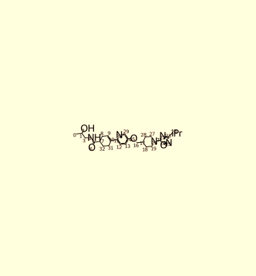 CC(O)CNC(=O)C1CC=C(c2ccc(OCC3CCN(c4nc(C(C)C)no4)CC3)cn2)CC1